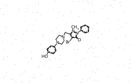 Cn1c(CN2CCN(c3ccc(O)cc3)CC2)c(Br)c(=O)n1-c1ccccc1